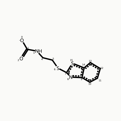 [O]C(=O)NCCSc1nc2ccccc2s1